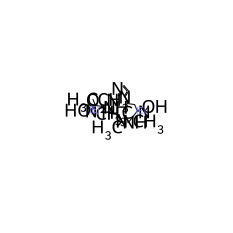 C/C(=N\O)C(C)(C)NCCN(C)NC(C)(C)/C(CCn1ccnc1[N+](=O)[O-])=N/O